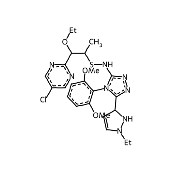 CCOC(c1ncc(Cl)cn1)C(C)SNc1nnc(C2C=CN(CC)N2)n1-c1c(OC)cccc1OC